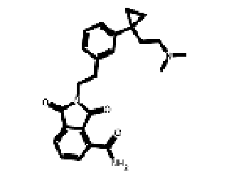 CN(C)CCC1(c2cccc(CCN3C(=O)c4cccc(C(N)=O)c4C3=O)c2)CC1